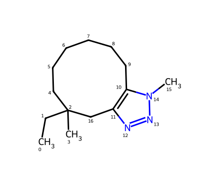 CCC1(C)CCCCCCc2c(nnn2C)C1